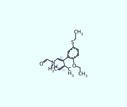 C/C=C(C)\C(=C/N(C)C=O)c1cc(SCC)ccc1OCC